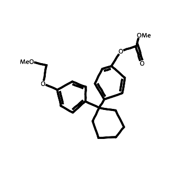 COCOc1ccc(C2(c3ccc(OC(=O)OC)cc3)CCCCC2)cc1